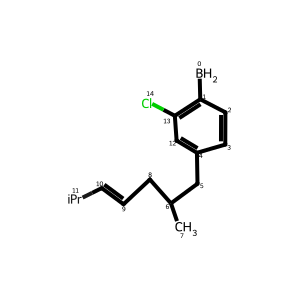 Bc1ccc(CC(C)C/C=C/C(C)C)cc1Cl